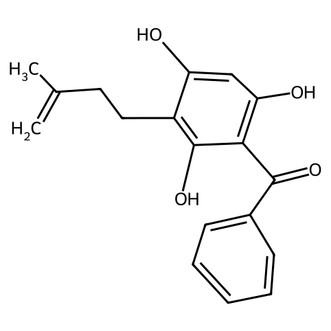 C=C(C)CCc1c(O)cc(O)c(C(=O)c2ccccc2)c1O